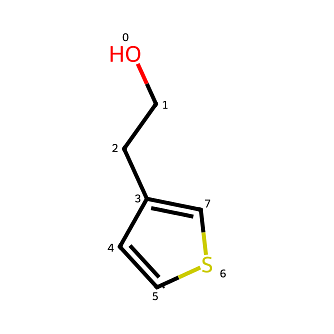 OCCc1c[c]sc1